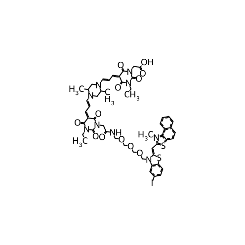 CCN1C(=O)C(=CC=CN2CC(C)N(C=CC=C3C(=O)N(CC)C(=O)N(CC(=O)NCOCOCOCN4/C(=C/c5sc6ccc7ccccc7c6[n+]5C)Sc5ccc(I)cc54)C3=O)CC2C)C(=O)N(CC(=O)O)C1=O